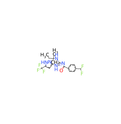 CCC(C)(C)N/C(=N/C(=O)c1ccc(C(F)F)cc1)Nc1cc(C(F)(F)F)[nH]n1